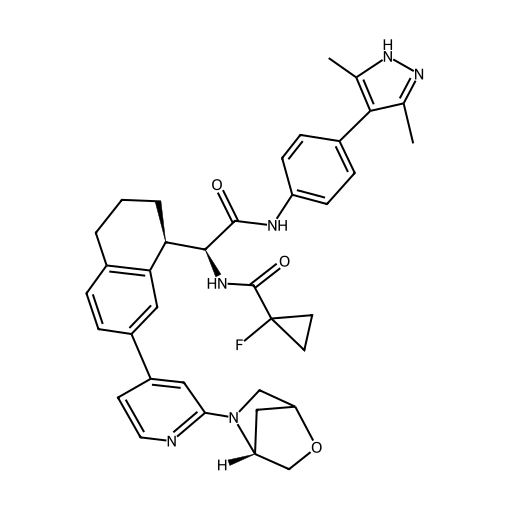 Cc1n[nH]c(C)c1-c1ccc(NC(=O)[C@@H](NC(=O)C2(F)CC2)[C@@H]2CCCc3ccc(-c4ccnc(N5CC6C[C@@H]5CO6)c4)cc32)cc1